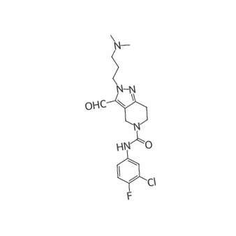 CN(C)CCCn1nc2c(c1C=O)CN(C(=O)Nc1ccc(F)c(Cl)c1)CC2